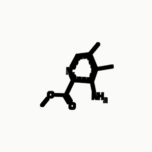 COC(=O)c1ncc(C)c(C)c1N